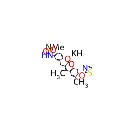 CNS(=O)(=O)Nc1cccc(Cc2c(C)c3cc(C)c(Oc4nccs4)cc3oc2=O)c1.[KH]